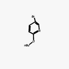 CCCCOc1ccc(Br)cn1